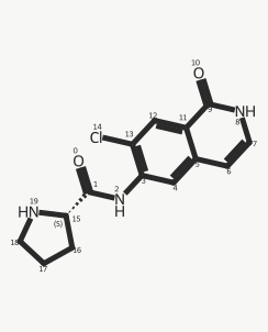 O=C(Nc1cc2cc[nH]c(=O)c2cc1Cl)[C@@H]1CCCN1